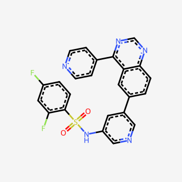 O=S(=O)(Nc1cncc(-c2ccc3ncnc(-c4ccncc4)c3c2)c1)c1ccc(F)cc1F